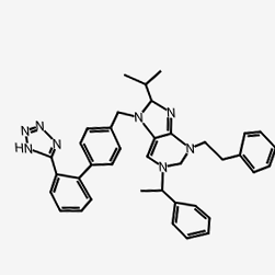 CC(C)C1N=C2C(=CN(C(C)c3ccccc3)CN2CCc2ccccc2)N1Cc1ccc(-c2ccccc2-c2nnn[nH]2)cc1